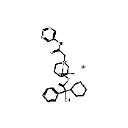 O=C(C[N+]12CCC(CC1)[C@@H](OC(=O)C(O)(c1ccccc1)C1CCCCC1)C2)Nc1cncnc1.[Br-]